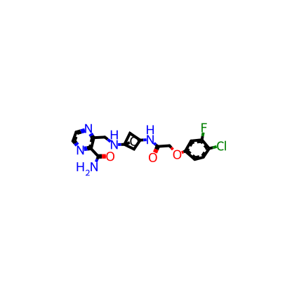 NC(=O)c1nccnc1CNC12CC(NC(=O)COc3ccc(Cl)c(F)c3)(C1)C2